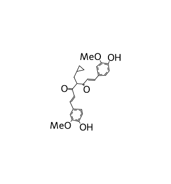 COc1cc(/C=C/C(=O)C(CC2CC2)C(=O)/C=C/c2ccc(O)c(OC)c2)ccc1O